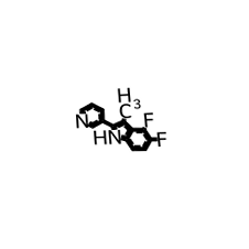 Cc1c(-c2cccnc2)[nH]c2ccc(F)c(F)c12